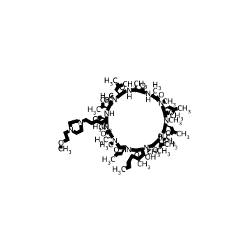 C/C=C/C[C@@H](C)[C@@H](O)[C@H]1C(=O)N[C@@H](CCC)C(=O)N(C)[C@H](C)C(=O)N(C)[C@](C=O)([C@H](C)CCCN2CCN(CCOC)CC2)N[C@@H](C(C)C)C(=O)N(C)[C@@H](CC(C)C)C(=O)N[C@@H](C)C(=O)N[C@H](C)C(=O)N(C)[C@@H](CC(C)C)C(=O)N(C)[C@@H](CC(C)C)C(=O)N(C)[C@@H](C(C)C)C(=O)N1C